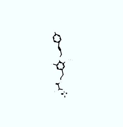 COc1cc(CCNC(=O)C(NS(C)(=O)=O)C(C)C)cc(Br)c1OCC#Cc1ccc(Br)cc1